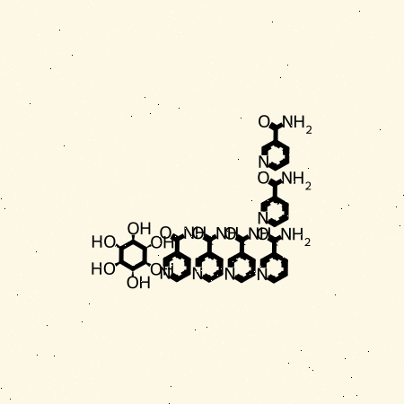 NC(=O)c1cccnc1.NC(=O)c1cccnc1.NC(=O)c1cccnc1.NC(=O)c1cccnc1.NC(=O)c1cccnc1.NC(=O)c1cccnc1.O[C@H]1[C@H](O)[C@@H](O)[C@H](O)[C@@H](O)[C@H]1O